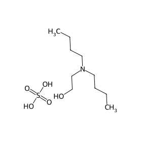 CCCCN(CCO)CCCC.O=S(=O)(O)O